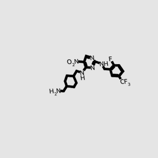 NCC1CCC(CNc2nc(NCc3cc(C(F)(F)F)ccc3F)ncc2[N+](=O)[O-])CC1